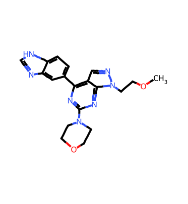 COCCn1ncc2c(-c3ccc4[nH]cnc4c3)nc(N3CCOCC3)nc21